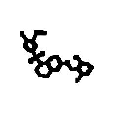 COc1cc(S(=O)(=O)N2CCCc3cc(OCc4c(F)cccc4Cl)ccc32)ccc1F